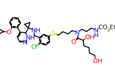 CCOC(=O)NCCCN(CCCCSc1ccc(Cl)c(CNC2(C3NN=CC=C3c3ccccc3OC3CC3)CC2)c1)C(=O)C(O)CCCCO